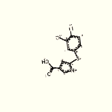 O=C(O)c1c[nH]c(Sc2ccc(Cl)c(Cl)c2)c1